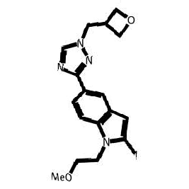 COCCn1c(I)cc2cc(-c3ncn(CC4COC4)n3)ccc21